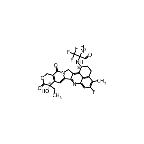 CC[C@@]1(O)C(=O)OCc2c1cc1n(c2=O)Cc2c-1nc1cc(F)c(C)c3c1c2[C@@H](NC(N)(C=O)C(F)(F)F)CC3